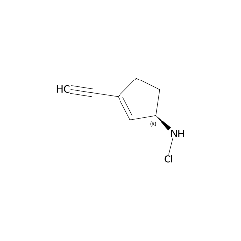 C#CC1=C[C@H](NCl)CC1